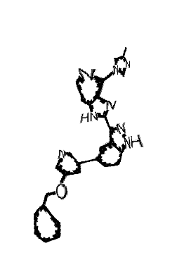 Cc1cn(-c2nccc3[nH]c(-c4n[nH]c5ccc(-c6cncc(OCc7ccccc7)c6)cc45)nc23)cn1